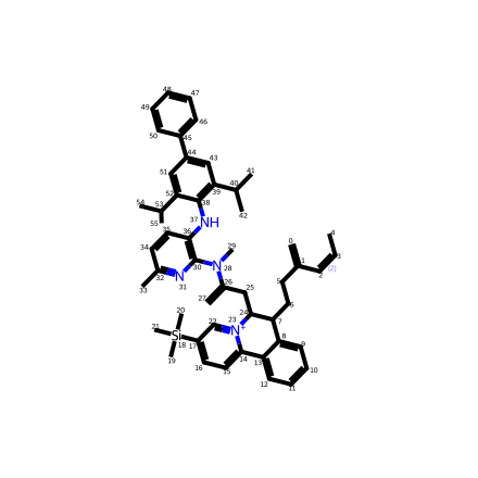 C=C(/C=C\C)CCC1c2ccccc2-c2ccc([Si](C)(C)C)c[n+]2C1CC(=C)N(C)c1nc(C)ccc1Nc1c(C(C)C)cc(-c2ccccc2)cc1C(C)C